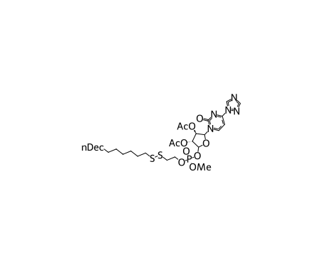 CCCCCCCCCCCCCCCCSSCCOP(=O)(OC)OC1OC(n2ccc(-n3cncn3)nc2=O)[C@H](OC(C)=O)[C@H]1OC(C)=O